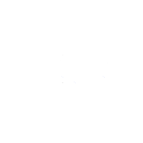 CC(c1ccccc1)N1CCC(OC2=CS[C@H](N(OC(=O)C(F)(F)F)S(=O)(=O)c3ccccc3)N2Cl)CC1